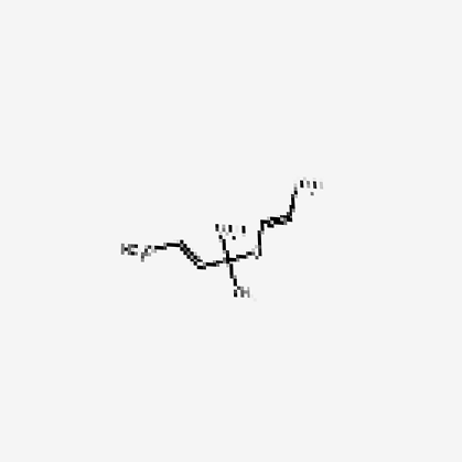 CC(C=CC(=O)O)(OC=CC(=O)O)C(=O)O